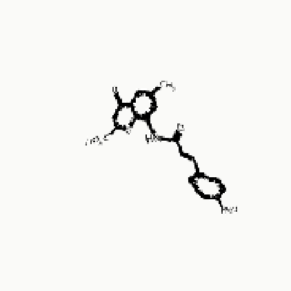 CCCCCc1ccc(/C=C/C(=O)Nc2cc(C)cc3c(=O)cc(C(=O)O)oc23)cc1